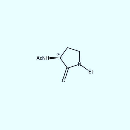 CCN1CC[C@H](NC(C)=O)C1=O